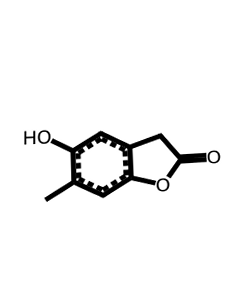 Cc1cc2c(cc1O)CC(=O)O2